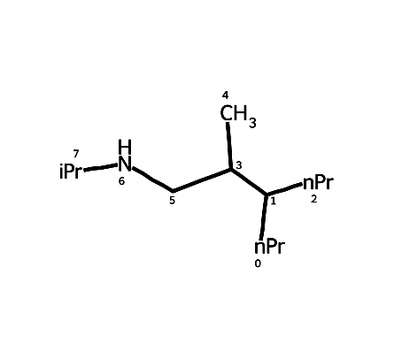 CCCC(CCC)C(C)CNC(C)C